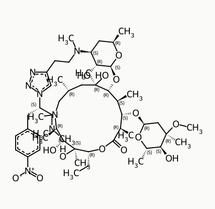 CC[C@H]1OC(=O)[C@H](C)[C@@H](O[C@H]2C[C@@](C)(OC)[C@@H](O)[C@H](C)O2)[C@H](C)[C@@H](O[C@@H]2O[C@H](C)C[C@H](N(C)CCc3cn([C@@H](Cc4ccc([N+](=O)[O-])cc4)CN(C)C)nn3)[C@H]2O)[C@](C)(O)C[C@@H](C)CN(C)[C@H](C)[C@@H](O)[C@]1(C)O